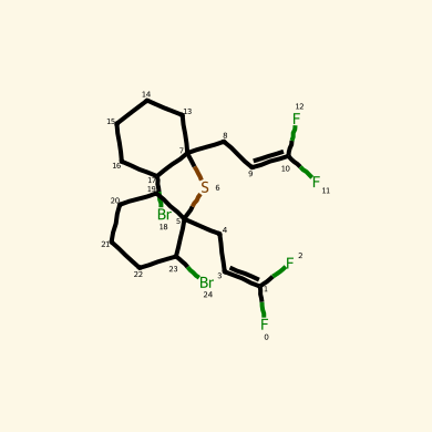 FC(F)=CCC1(SC2(CC=C(F)F)CCCCC2Br)CCCCC1Br